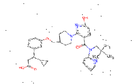 CC(C)(C)CN(C(=O)c1ccc(O)nc1N1CCC(COc2cccc(C(CC(=O)O)C3CC3)c2)CC1)c1ccccn1